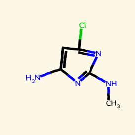 CNc1nc(N)cc(Cl)n1